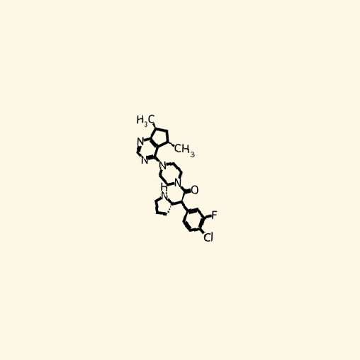 C[C@@H]1C[C@H](C)c2ncnc(N3CCN(C(=O)[C@@H](c4ccc(Cl)c(F)c4)[C@@H]4CCCN4)CC3)c21